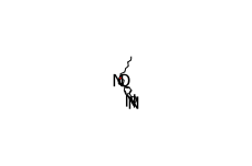 CCCCCCCc1ncc(-c2ccc(-c3ccn(C)n3)cc2)o1